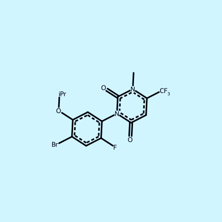 CC(C)Oc1cc(-n2c(=O)cc(C(F)(F)F)n(C)c2=O)c(F)cc1Br